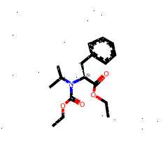 CCOC(=O)[C@H](Cc1ccccc1)N(C(=O)OCC)C(C)C